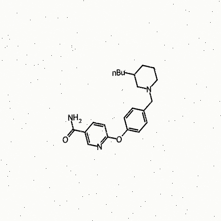 CCCCC1CCCN(Cc2ccc(Oc3ccc(C(N)=O)cn3)cc2)C1